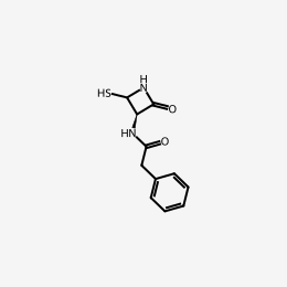 O=C(Cc1ccccc1)N[C@@H]1C(=O)NC1S